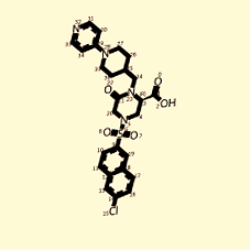 O=C(O)[C@H]1CN(S(=O)(=O)c2ccc3cc(Cl)ccc3c2)CC(=O)N1CC1CCN(c2ccncc2)CC1